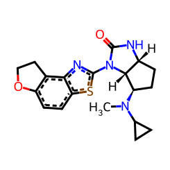 CN(C1CC1)[C@@H]1CC[C@H]2NC(=O)N(c3nc4c5c(ccc4s3)OCC5)[C@@H]12